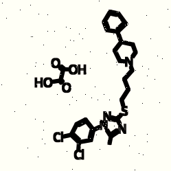 Cc1nc(SCCCCN2CCC(c3ccccc3)CC2)nn1-c1ccc(Cl)c(Cl)c1.O=C(O)C(=O)O